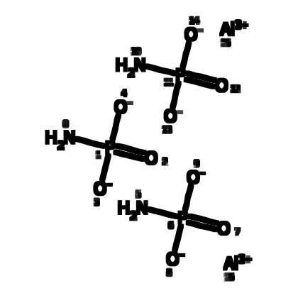 NP(=O)([O-])[O-].NP(=O)([O-])[O-].NP(=O)([O-])[O-].[Al+3].[Al+3]